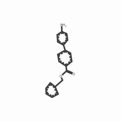 Nc1ccc(-c2ccc(C(=O)OCc3ccccc3)cc2)cc1